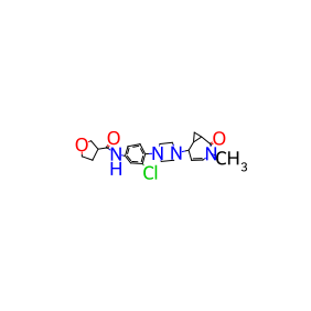 CN1C=CC(N2CCN(c3ccc(NC(=O)C4CCOC4)cc3Cl)CC2)C2CC2C1=O